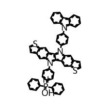 O[PH](c1ccccc1)(c1ccccc1)c1ccc(-n2c3cc4ccsc4cc3c3c2c2cc4sccc4cc2n3-c2ccc(-n3c4ccccc4c4ccccc43)cc2)cc1